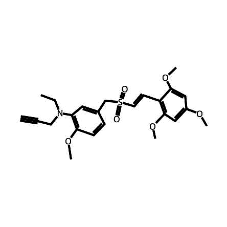 C#CCN(CC)c1cc(CS(=O)(=O)/C=C/c2c(OC)cc(OC)cc2OC)ccc1OC